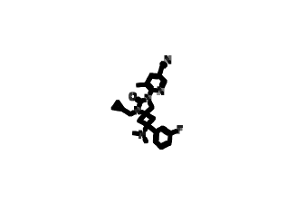 Cc1cc(C#N)cnc1N1CC2(CC(c3cccc(F)c3)(N(C)C)C2)N(CC2CC2)C1=O